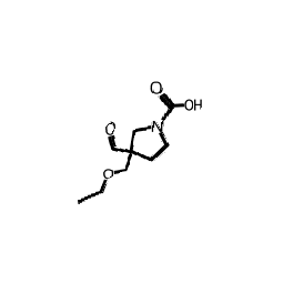 CCOCC1(C=O)CCN(C(=O)O)C1